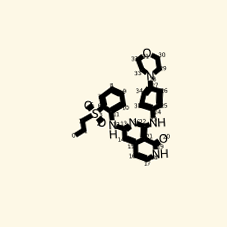 CCCS(=O)(=O)c1ccccc1Nc1cc2cc[nH]c(=O)c2c(Nc2ccc(N3CCOCC3)cc2)n1